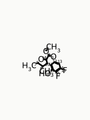 COC(=O)C1O[C@H](C)[C@@H](C)[C@H]1c1ccc(F)c(F)c1O